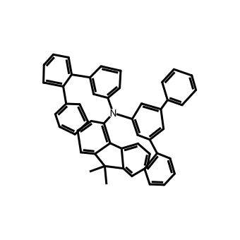 CC1(C)c2ccccc2-c2c(N(c3cc(-c4ccccc4)cc(-c4ccccc4)c3)c3cccc(-c4ccccc4-c4ccccc4)c3)cccc21